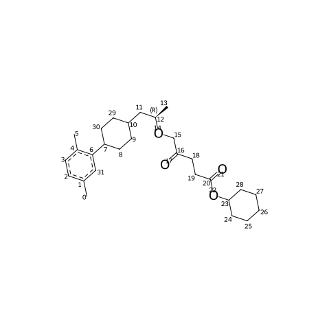 Cc1ccc(C)c(C2CCC(C[C@@H](C)OCC(=O)CCC(=O)OC3CCCCC3)CC2)c1